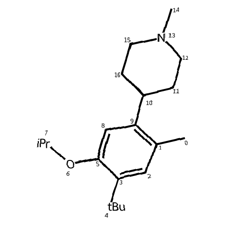 Cc1cc(C(C)(C)C)c(OC(C)C)cc1C1CCN(C)CC1